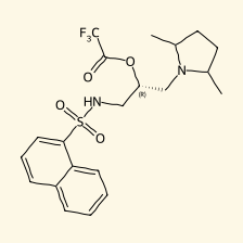 CC1CCC(C)N1C[C@H](CNS(=O)(=O)c1cccc2ccccc12)OC(=O)C(F)(F)F